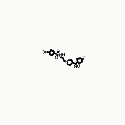 O=S(=O)(NCCCN1CCC(c2noc3cc(F)ccc23)CC1)c1ccc(Br)cc1